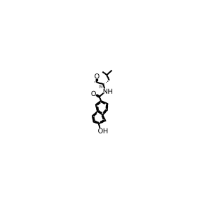 CC(C)C[C@@H]([C]=O)NC(=O)c1ccc2cc(O)ccc2c1